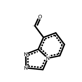 O=[C]c1cccn2cnnc12